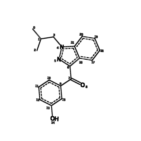 CC(C)Cn1nc(C(=O)c2cccc(O)c2)c2ccccc21